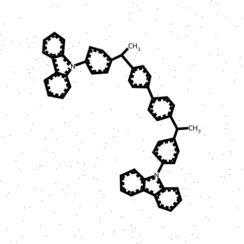 CC(c1ccc(-c2ccc(C(C)c3ccc(-n4c5ccccc5c5ccccc54)cc3)cc2)cc1)c1ccc(-n2c3ccccc3c3ccccc32)cc1